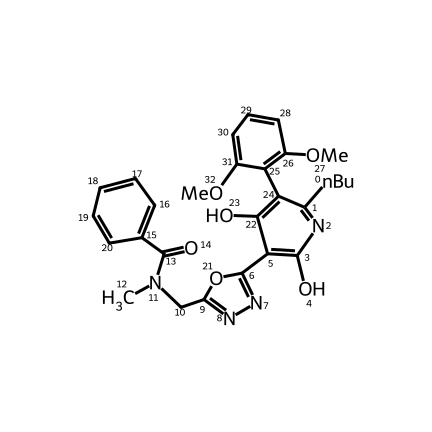 CCCCc1nc(O)c(-c2nnc(CN(C)C(=O)c3ccccc3)o2)c(O)c1-c1c(OC)cccc1OC